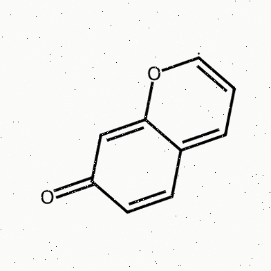 O=c1ccc2cc[c]oc-2c1